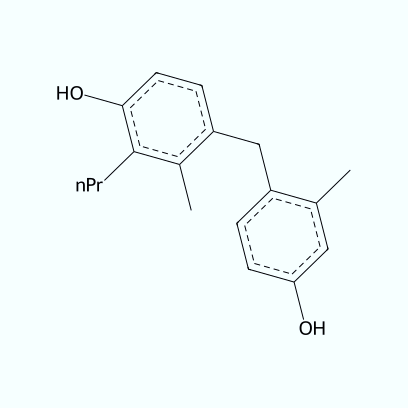 CCCc1c(O)ccc(Cc2ccc(O)cc2C)c1C